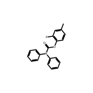 Cc1ccc(OC(=O)N(c2ccccc2)c2ccccc2)c(F)c1